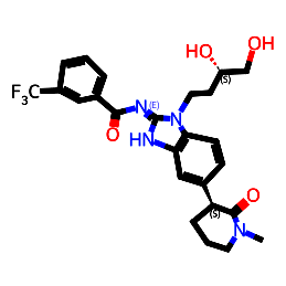 CN1CCC[C@@H](c2ccc3c(c2)[nH]/c(=N\C(=O)c2cccc(C(F)(F)F)c2)n3CC[C@H](O)CO)C1=O